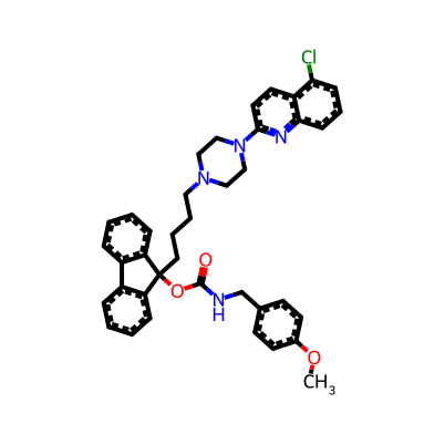 COc1ccc(CNC(=O)OC2(CCCCN3CCN(c4ccc5c(Cl)cccc5n4)CC3)c3ccccc3-c3ccccc32)cc1